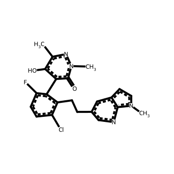 Cc1nn(C)c(=O)c(-c2c(F)ccc(Cl)c2CCc2cnc3c(ccn3C)c2)c1O